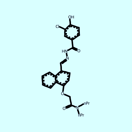 CCCN(CCC)C(=O)COc1ccc(/C=N/NC(=O)c2ccc(O)c(Cl)c2)c2ccccc12